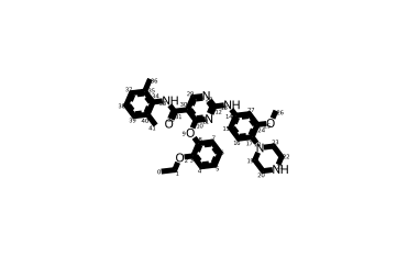 CCOc1ccccc1Oc1nc(Nc2ccc(N3CCNCC3)c(OC)c2)ncc1C(=O)Nc1c(C)cccc1C